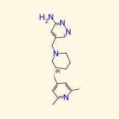 Cc1cc(C[C@H]2CCCN(Cc3cnnc(N)c3)C2)cc(C)n1